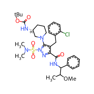 COC(C)C(NC(=O)c1nn(S(=O)(=O)N(C)C)c(N2CCC[C@@H](NC(=O)OC(C)(C)C)C2)c1Cc1ccccc1Cl)c1ccccc1